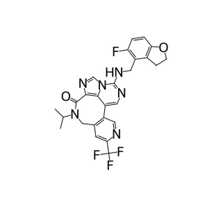 CC(C)N1Cc2cc(C(F)(F)F)ncc2-c2cnc(NCc3c(F)ccc4c3CCO4)n3cnc(c23)C1=O